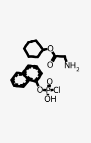 NCC(=O)OC1CCCCC1.O=P(O)(Cl)Oc1cccc2ccccc12